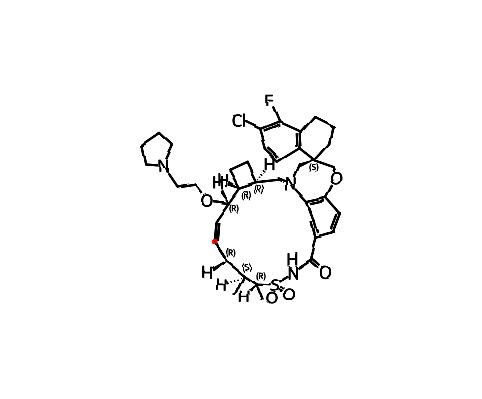 C[C@@H]1[C@@H](C)S(=O)(=O)NC(=O)c2ccc3c(c2)N(C[C@@H]2CC[C@H]2[C@@H](OCCN2CCCC2)C2=C[C@H]1C2)C[C@@]1(CCCc2c1ccc(Cl)c2F)CO3